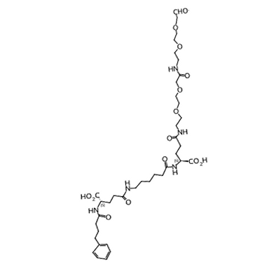 O=[C]COCCOCCNC(=O)COCCOCCNC(=O)CC[C@H](NC(=O)CCCCCNC(=O)CC[C@H](NC(=O)CCCc1ccccc1)C(=O)O)C(=O)O